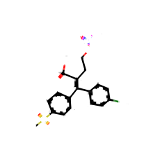 CS(=O)(=O)c1ccc(C(=C(CCO[N+](=O)[O-])C(=O)O)c2ccc(Cl)cc2)cc1